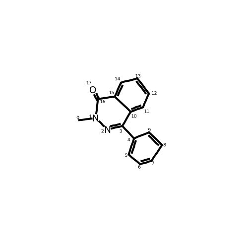 Cn1nc(-c2ccccc2)c2ccccc2c1=O